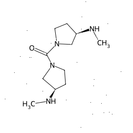 CN[C@@H]1CCN(C(=O)N2CC[C@@H](NC)C2)C1